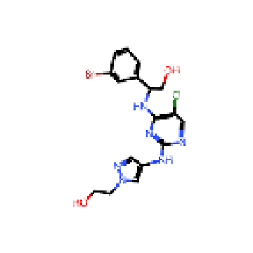 OCCn1cc(Nc2ncc(Cl)c(NC(CO)c3cccc(Br)c3)n2)cn1